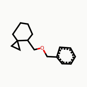 c1ccc(COCC2CCCCC23CC3)cc1